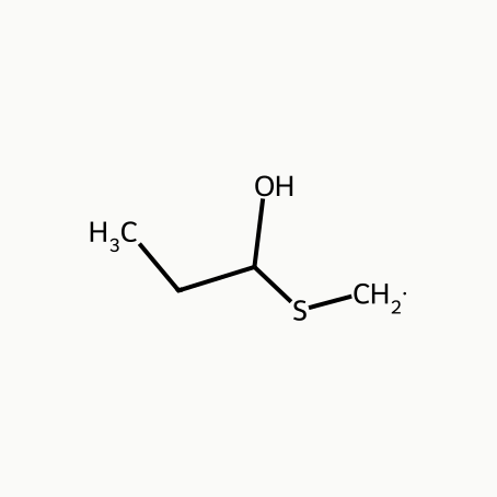 [CH2]SC(O)CC